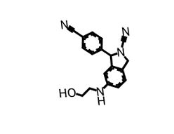 N#Cc1ccc(C2c3cc(NCCO)ccc3CN2C#N)cc1